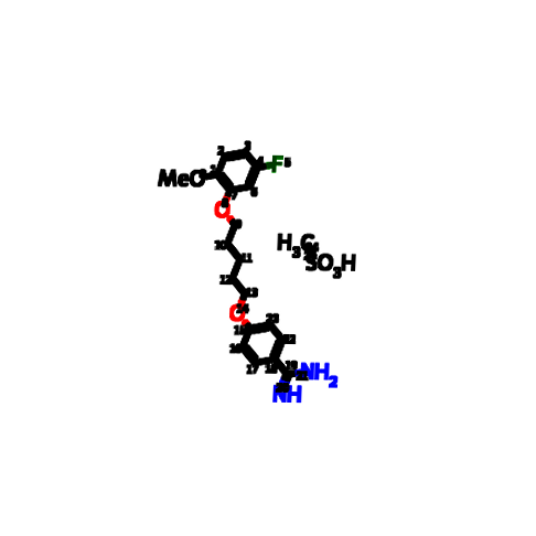 COc1ccc(F)cc1OCCCCCOc1ccc(C(=N)N)cc1.CS(=O)(=O)O